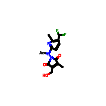 CC(=O)N(c1ccc(C(F)F)c(C)n1)N1C(=O)C(C)=C(CO)C1=O